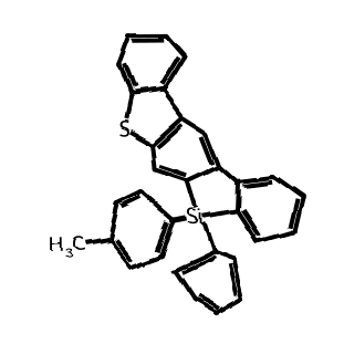 Cc1ccc([Si]2(c3ccccc3)c3ccccc3-c3cc4c(cc32)sc2ccccc24)cc1